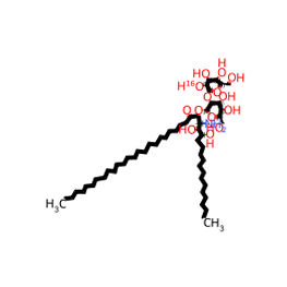 CCCCCCCCCCCCCCCCCCCCCCCCCC(=O)C(O[C@H]1O[C@H](CO)[C@@H](O)[C@H](O)[C@H]1O[C@H]1O[C@H](CO)[C@H](O)[C@H](O)[C@H]1[16OH])[C@@H](N)[C@H](O)[C@H](O)CCCCCCCCCCCCCC